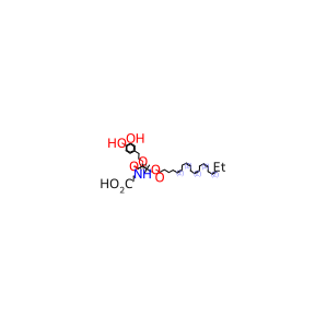 CC/C=C\C/C=C\C/C=C\C/C=C\C/C=C\CCCC(=O)OCC(C)(C)[C@H](OCCc1ccc(O)c(O)c1)C(=O)NCCC(=O)O